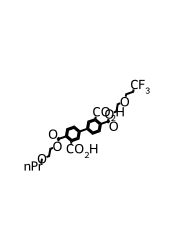 CCCOCCOC(=O)c1ccc(-c2ccc(C(=O)OCCOCCC(F)(F)F)c(C(=O)O)c2)cc1C(=O)O